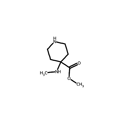 CNC1(C(=O)OC)CCNCC1